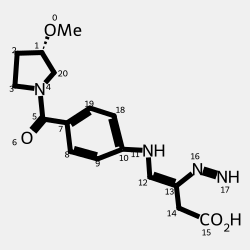 CO[C@H]1CCN(C(=O)c2ccc(N/C=C(/CC(=O)O)N=N)cc2)C1